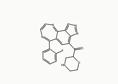 O=C(c1cc2c(-c3ccccc3F)nccnc2c2cnnc12)C1CNCCO1